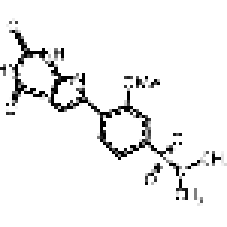 COc1cc(S(=O)(=O)N(C)C)ccc1-c1cn2c(=O)[nH]c(=O)[nH]c2n1